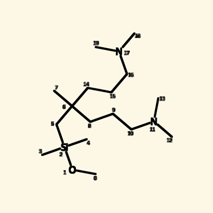 CO[Si](C)(C)CC(C)(CCCN(C)C)CCCN(C)C